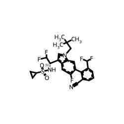 CC(C)(C)Cn1cc([C@H](NS(=O)(=O)C2CC2)C(F)F)c2cc(F)c(-c3c(C#N)cccc3C(F)F)cc21